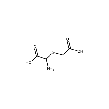 NC(SCC(=O)O)C(=O)O